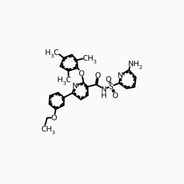 CCOc1cccc(-c2ccc(C(=O)NS(=O)(=O)c3cccc(N)n3)c(Oc3c(C)cc(C)cc3C)n2)c1